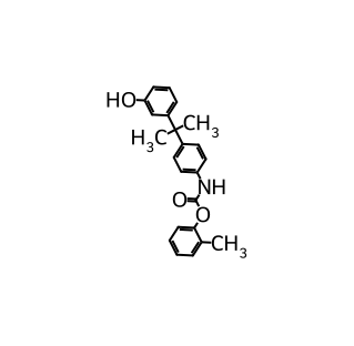 Cc1ccccc1OC(=O)Nc1ccc(C(C)(C)c2cccc(O)c2)cc1